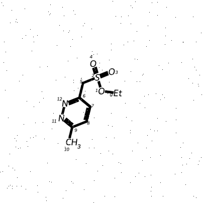 CCOS(=O)(=O)Cc1ccc(C)nn1